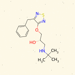 CC(C)(C)NC[C@H](O)COc1nsnc1Cc1ccccc1